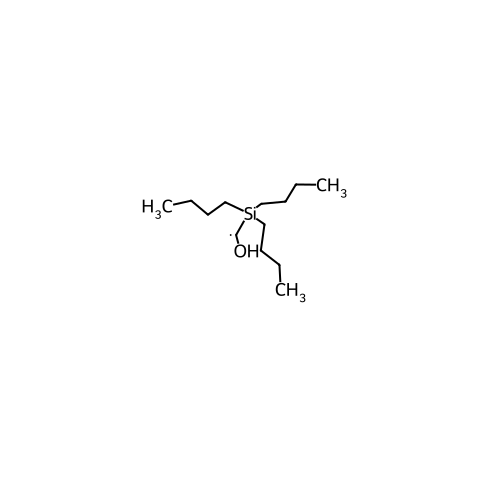 CCCC[Si]([CH]O)(CCCC)CCCC